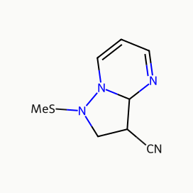 CSN1CC(C#N)C2N=CC=CN21